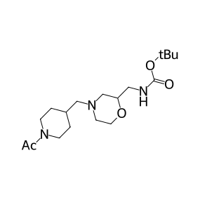 CC(=O)N1CCC(CN2CCOC(CNC(=O)OC(C)(C)C)C2)CC1